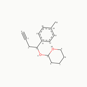 C#CCC(OC1CCCCO1)c1ccc(C)cc1